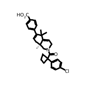 CC1(C)C(c2ccc(C(=O)O)cc2)=CC[C@]2(C)CN(C(=O)C3(c4ccc(Cl)cc4)CCC3)CC=C12